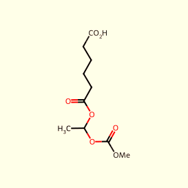 COC(=O)OC(C)OC(=O)CCCCC(=O)O